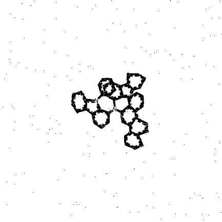 c1ccc(-n2c3ccccc3c3cccc(N(c4cc5c6ccccc6ccc5c5ccccc45)c4cccc5c4sc4ccccc45)c32)cc1